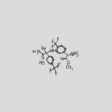 COC(=O)C(N)c1ccc(C(F)(F)F)cc1.Cl.[2H]C(N)(C(N)=O)c1ccc(C(F)(F)F)cc1